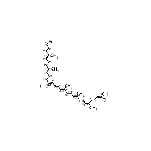 CC(C)=CCCC(C)/C=C/C/C(C)=C/C=C/C(C)=C/C=C/C=C(\C)CC/C=C(\C)CC/C=C(\C)CCCC(C)C